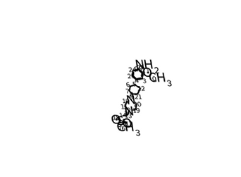 COc1cc([C@H]2CC[C@H](N3CCN(CCS(C)(=O)=O)CC3)CC2)ccc1N